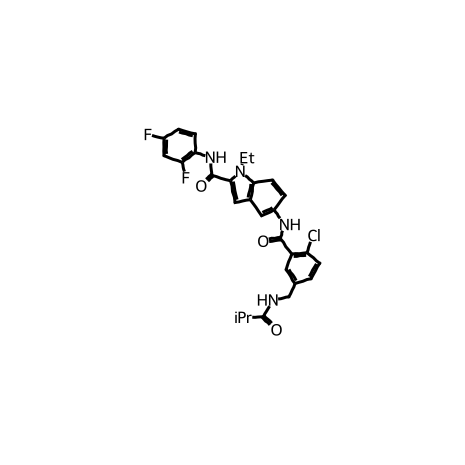 CCn1c(C(=O)Nc2ccc(F)cc2F)cc2cc(NC(=O)c3cc(CNC(=O)C(C)C)ccc3Cl)ccc21